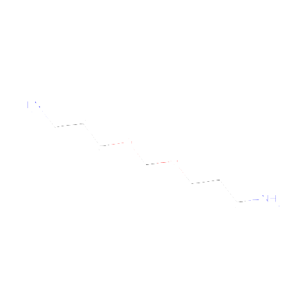 NCCCOCOCCCN